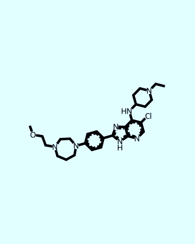 CCN1CCC(Nc2c(Cl)cnc3[nH]c(-c4ccc(N5CCCN(CCOC)CC5)cc4)nc23)CC1